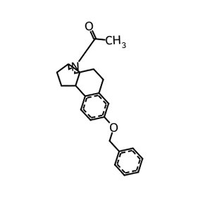 CC(=O)N1CC2CCC3c4ccc(OCc5ccccc5)cc4CCC23C1